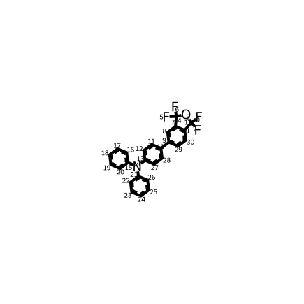 FC1(F)OC(F)(F)c2cc(-c3ccc(N(c4ccccc4)c4ccccc4)cc3)ccc21